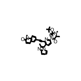 Cc1nc2ccccn2c1-c1ccc(NC(=O)C(C)N(C)C(=O)OC(C)(C)C)nc1C#Cc1ccc2c(ccc(=O)n2C)c1